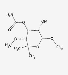 COC1OC(C)(C)[C@H](OC)C(OC(N)=O)[C@@H]1O